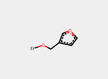 CCOCc1[c]coc1